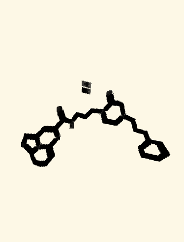 Cl.Cl.O=C(NCCCN1CCN(CCCc2ccccc2)CC1=O)C1=Cc2cnc3cccc(n23)S1